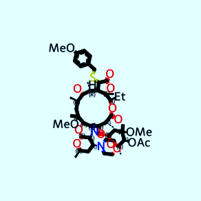 CC[C@H]1OC(=O)[C@H](C)[C@@H](O[C@H]2C[C@@](C)(OC)[C@@H](OC(C)=O)[C@H](C)O2)[C@H](C)[C@@H](O[C@@H]2O[C@H](C)C[C@@H](N3CCOCC3)[C@@H]2N(C)C)[C@](C)(OC)C[C@@H](C)C(=O)[C@H](C)[C@H]2C(SCc3ccc(OC)cc3)C(=O)O[C@@]21C